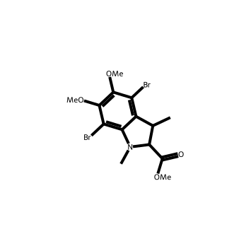 COC(=O)C1C(C)c2c(Br)c(OC)c(OC)c(Br)c2N1C